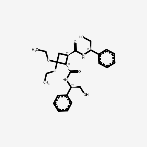 CCOC1(OCC)C[C@@H](C(=O)N[C@@H](CO)c2ccccc2)[C@@H]1C(=O)N[C@@H](CO)c1ccccc1